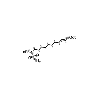 CCCCCCCC/C=C/CCCCCCCCN(CCC)S(N)(=O)=O